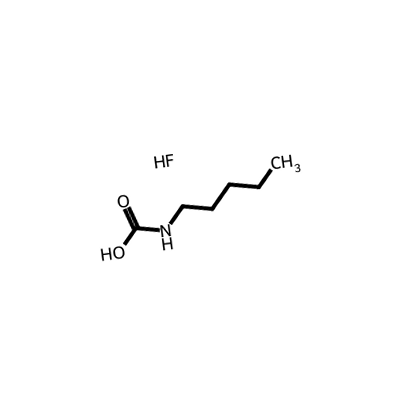 CCCCCNC(=O)O.F